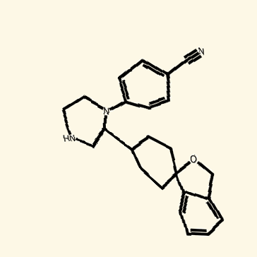 N#Cc1ccc(N2CCNCC2C2CCC3(CC2)OCc2ccccc23)cc1